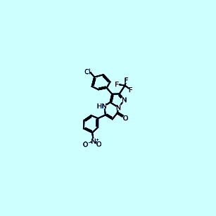 O=c1cc(-c2cccc([N+](=O)[O-])c2)[nH]c2c(-c3ccc(Cl)cc3)c(C(F)(F)F)nn12